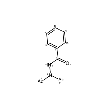 CC(=O)N(NC(=O)c1ccccc1)C(C)=O